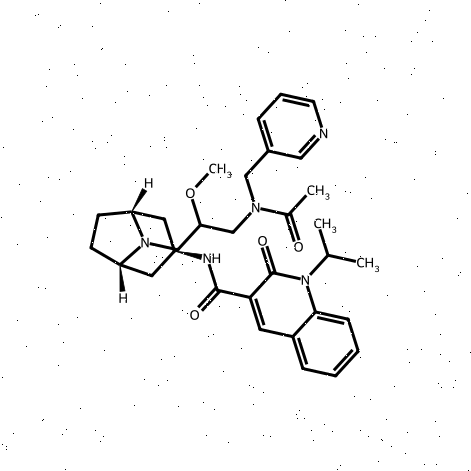 COC(CN(Cc1cccnc1)C(C)=O)CN1[C@@H]2CC[C@H]1C[C@H](NC(=O)c1cc3ccccc3n(C(C)C)c1=O)C2